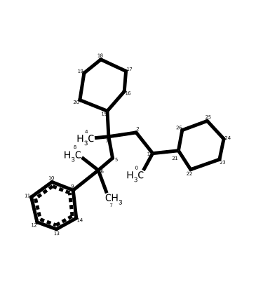 CC(CC(C)(CC(C)(C)c1ccccc1)C1CCCCC1)C1CCCCC1